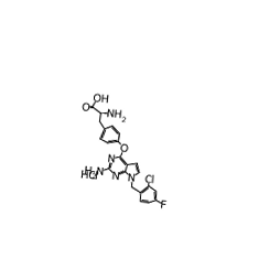 Cl.Nc1nc(Oc2ccc(C[C@H](N)C(=O)O)cc2)c2ccn(Cc3ccc(F)cc3Cl)c2n1